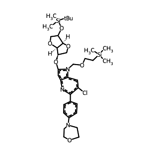 CC(C)(C)[Si](C)(C)OC1CO[C@H]2[C@@H]1OC[C@H]2Oc1cc2nc(-c3ccc(N4CCOCC4)cc3)c(Cl)cc2n1COCC[Si](C)(C)C